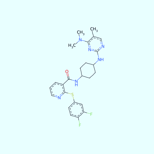 Cc1cnc(NC2CCC(NC(=O)c3cccnc3Sc3ccc(F)c(F)c3)CC2)nc1N(C)C